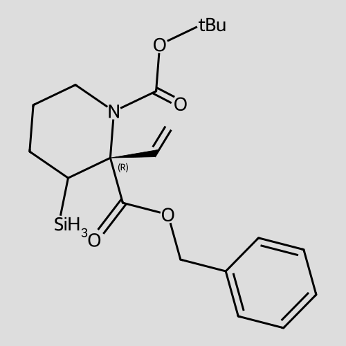 C=C[C@@]1(C(=O)OCc2ccccc2)C([SiH3])CCCN1C(=O)OC(C)(C)C